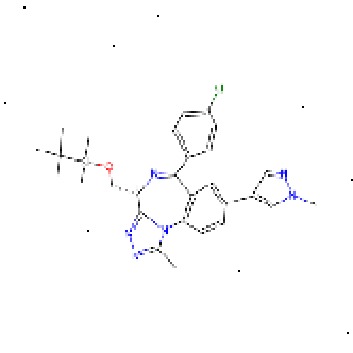 Cc1nnc2n1-c1ccc(-c3cnn(C)c3)cc1C(c1ccc(Cl)cc1)=N[C@H]2CO[Si](C)(C)C(C)(C)C